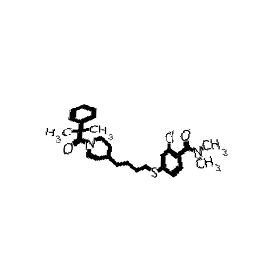 CN(C)C(=O)c1ccc(SCCCCC2CCN(C(=O)C(C)(C)c3ccccc3)CC2)cc1Cl